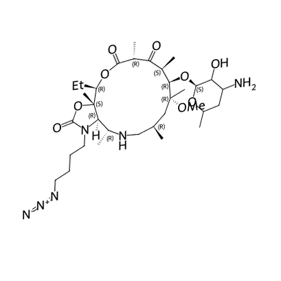 CC[C@H]1OC(=O)[C@H](C)C(=O)[C@@H](C)[C@@H](O[C@@H]2OC(C)CC(N)C2O)[C@](C)(OC)C[C@@H](C)CN[C@H](C)[C@H]2N(CCCCN=[N+]=[N-])C(=O)O[C@]12C